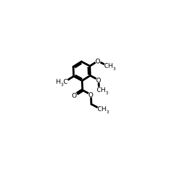 CCOC(=O)c1c(C)ccc(OC)c1OC